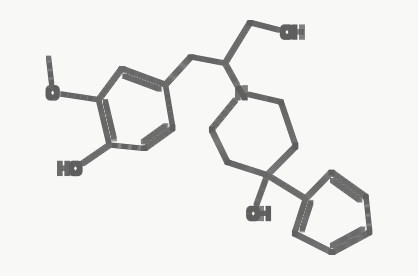 COc1cc(CC(CO)N2CCC(O)(c3ccccc3)CC2)ccc1O